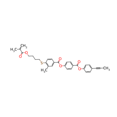 C=C(C)C(=O)OCCCCSc1ccc(C(=O)Oc2ccc(C(=O)Oc3ccc(C#CC)cc3)cc2)cc1C